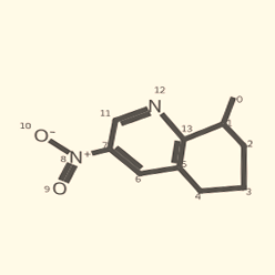 CC1CCCc2cc([N+](=O)[O-])cnc21